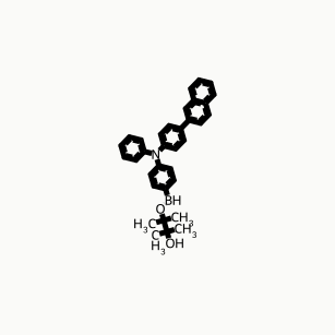 CC(C)(O)C(C)(C)OBc1ccc(N(c2ccccc2)c2ccc(-c3ccc4ccccc4c3)cc2)cc1